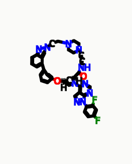 O=C1NCCN2CCN(CC2)CCn2cc3c(cccc3n2)-c2cccc(c2)O[C@H]2C[C@@H]1N(c1ncnc3c1cnn3-c1ccc(F)cc1F)C2